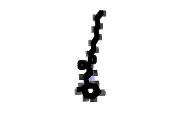 CCCCCCCCOC(=O)/C=C/c1ccccc1C